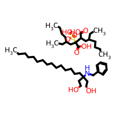 CCCCC(CC)CC(C(=O)O)C(CC(CC)CCCC)(C(=O)O)S(=O)(=O)O.CCCCCCCCCCCCCCCC(CCO)(CCO)NCc1ccccc1